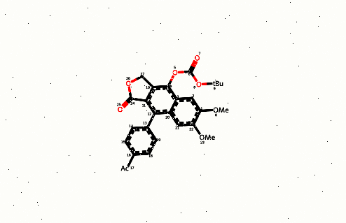 COc1cc2c(OC(=O)OC(C)(C)C)c3c(c(-c4ccc(C(C)=O)cc4)c2cc1OC)C(=O)OC3